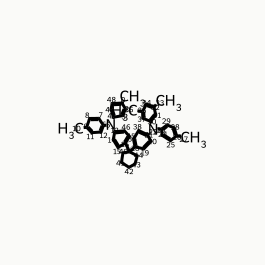 Cc1ccc(N(c2ccc(C)cc2)c2ccc(C3(c4ccc(N(c5ccc(C)cc5)c5cc(C)cc(C)c5)cc4)CCCCC3)cc2)cc1